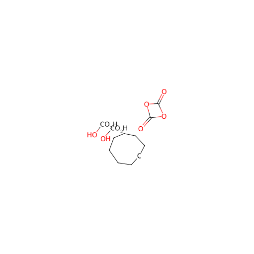 C1CCCCCCC1.O=C(O)O.O=C(O)O.O=C1OC(=O)O1